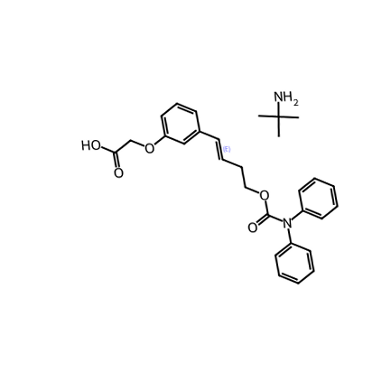 CC(C)(C)N.O=C(O)COc1cccc(/C=C/CCOC(=O)N(c2ccccc2)c2ccccc2)c1